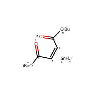 CC(C)COC(=O)/C=C\C(=O)OCC(C)C.[SnH2]